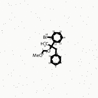 COCOC(C)(Cc1ccccc1)c1ccccc1Br